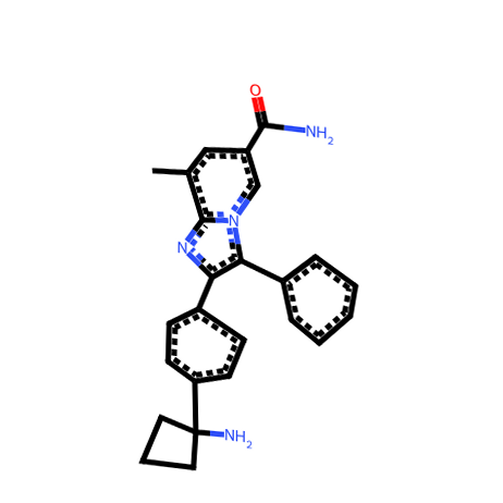 Cc1cc(C(N)=O)cn2c(-c3ccccc3)c(-c3ccc(C4(N)CCC4)cc3)nc12